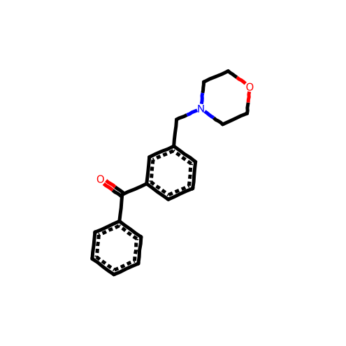 O=C(c1ccccc1)c1cccc(CN2CCOCC2)c1